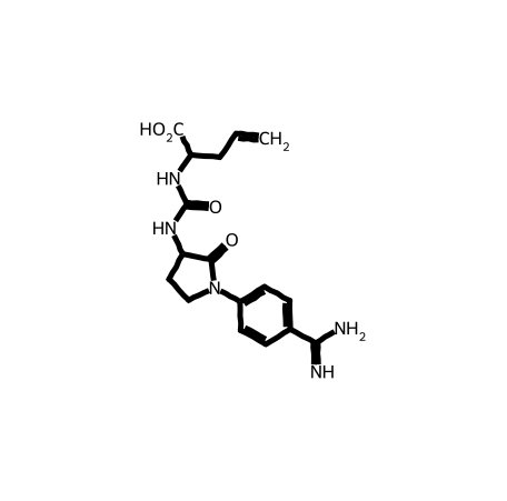 C=CCC(NC(=O)NC1CCN(c2ccc(C(=N)N)cc2)C1=O)C(=O)O